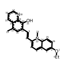 CCOC1=CC2=CC=C(C=Cc3cc(C)c4cccnc4c3O)N(C)C2C=C1